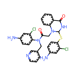 Nc1ccc(SC2NC(=O)c3ccccc3N2CC(=O)N(Cc2cccnc2)c2ccc(N)cc2Cl)c(Cl)c1